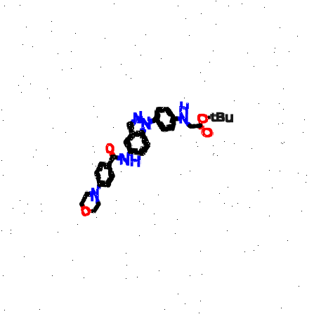 CC(C)(C)OC(=O)CNc1ccc(-n2ncc3cc(NC(=O)c4ccc(N5CCOCC5)cc4)ccc32)cc1